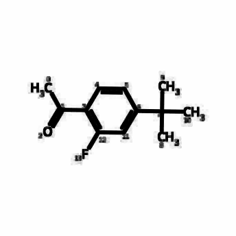 CC(=O)c1ccc(C(C)(C)C)cc1F